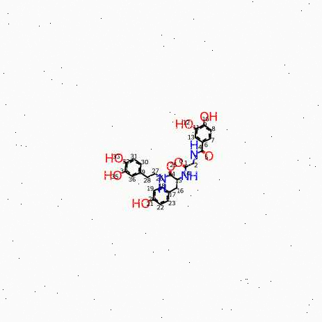 O=C(CNC(=O)c1ccc(O)c(O)c1)N[C@@H](Cc1ccc(O)cc1)C(=O)NCCc1ccc(O)c(O)c1